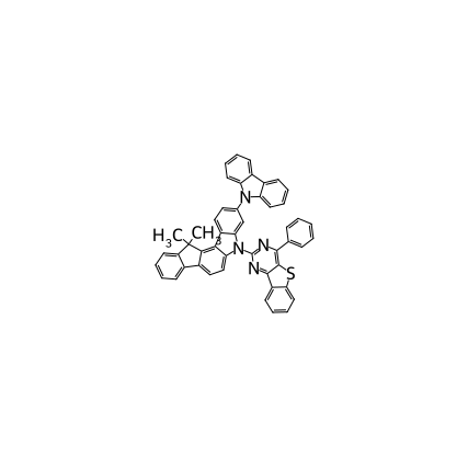 CC1(C)c2ccccc2-c2ccc3c(c21)c1ccc(-n2c4ccccc4c4ccccc42)cc1n3-c1nc(-c2ccccc2)c2sc3ccccc3c2n1